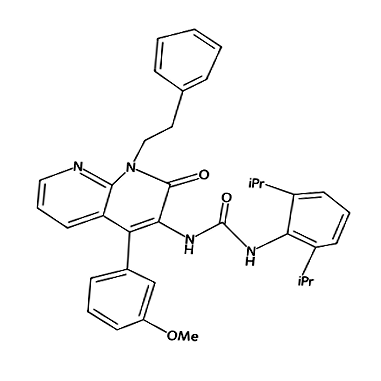 COc1cccc(-c2c(NC(=O)Nc3c(C(C)C)cccc3C(C)C)c(=O)n(CCc3ccccc3)c3ncccc23)c1